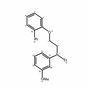 CCN(CCOc1ccccc1C(C)C)c1cccc(OC)c1